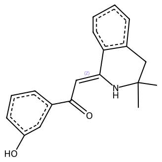 CC1(C)Cc2ccccc2/C(=C/C(=O)c2cccc(O)c2)N1